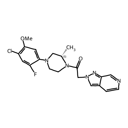 COc1cc(N2CCN(C(=O)Cn3cc4ccncc4n3)[C@@H](C)C2)c(F)cc1Cl